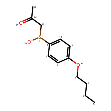 CCCCOc1ccc([S+]([O-])CC(C)=O)cc1